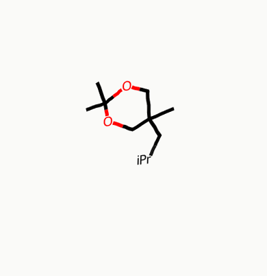 CC(C)CC1(C)COC(C)(C)OC1